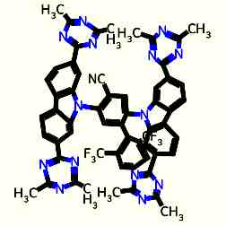 Cc1nc(C)nc(-c2ccc3c4ccc(-c5nc(C)nc(C)n5)cc4n(-c4cc(-c5c(C(F)(F)F)cccc5C(F)(F)F)c(-n5c6cc(-c7nc(C)nc(C)n7)ccc6c6ccc(-c7nc(C)nc(C)n7)cc65)cc4C#N)c3c2)n1